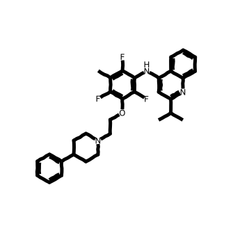 Cc1c(F)c(Nc2cc(C(C)C)nc3ccccc23)c(F)c(OCCN2CCC(c3ccccc3)CC2)c1F